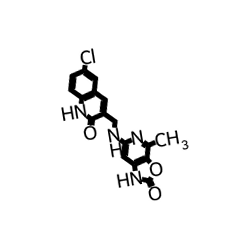 Cc1nc(NCc2cc3cc(Cl)ccc3[nH]c2=O)cc2[nH]c(=O)oc12